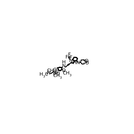 COc1cc(S(=O)(=O)N(C)CCN(C)C)ccc1NCC#Cc1cc2c(NC3CCS(=O)(=O)CC3)cccc2n1CC(F)(F)F